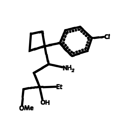 CCC(O)(COC)CC(N)C1(c2ccc(Cl)cc2)CCC1